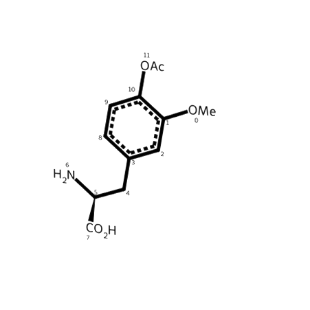 COc1cc(C[C@H](N)C(=O)O)ccc1OC(C)=O